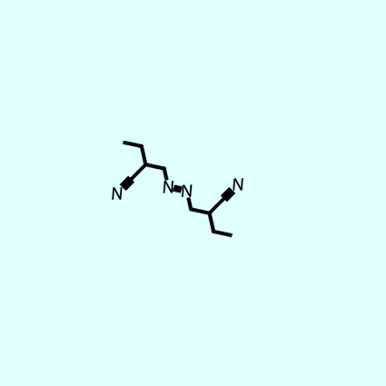 CCC(C#N)CN=NCC(C#N)CC